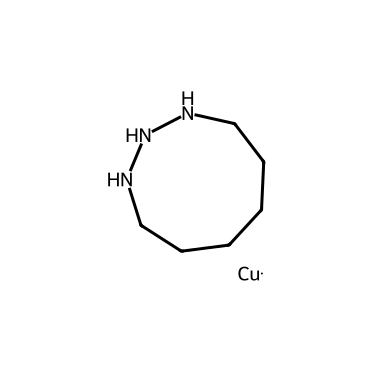 C1CCCNNNCC1.[Cu]